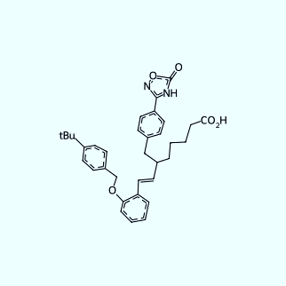 CC(C)(C)c1ccc(COc2ccccc2C=CC(CCCCC(=O)O)Cc2ccc(-c3noc(=O)[nH]3)cc2)cc1